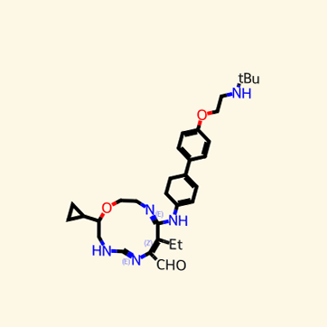 CCC1=C(C=O)/N=C/NCC(C2CC2)OCC/N=C\1NC1=CC=C(c2ccc(OCCNC(C)(C)C)cc2)CC1